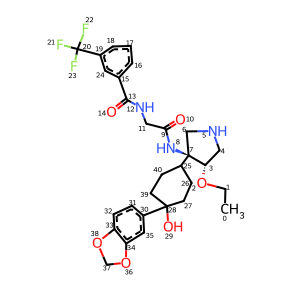 CCO[C@H]1CNC[C@@]1(NC(=O)CNC(=O)c1cccc(C(F)(F)F)c1)C1CCC(O)(c2ccc3c(c2)OCO3)CC1